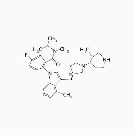 Cc1cncc2c1c(C[C@H]1CCN(C3CCNCC3C)C1)cn2-c1ccc(F)cc1C(=O)N(C)C(C)C